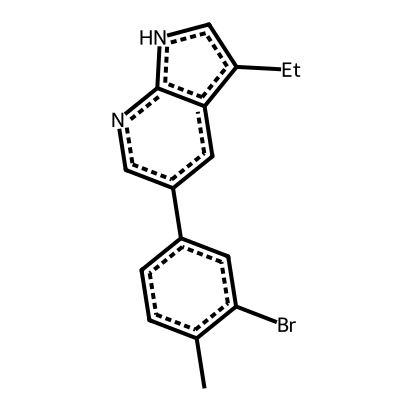 CCc1c[nH]c2ncc(-c3ccc(C)c(Br)c3)cc12